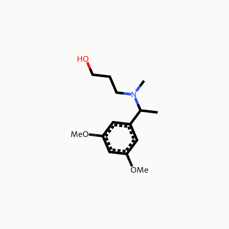 COc1cc(OC)cc(C(C)N(C)CCCO)c1